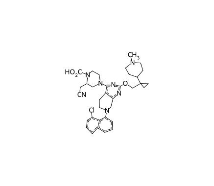 CN1CCC(C2(COc3nc4c(c(N5CCN(C(=O)O)C(CC#N)C5)n3)CCN(c3cccc5cccc(Cl)c35)C4)CC2)CC1